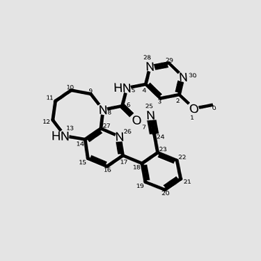 COc1cc(NC(=O)N2CCCCNc3ccc(-c4ccccc4C#N)nc32)ncn1